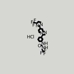 Cl.O=C(NCC(F)(F)F)Nc1cccc(-c2cnc3cc(-c4nccc(C(F)(F)F)n4)ccn23)c1